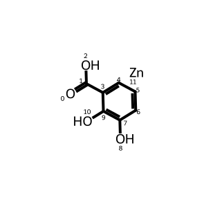 O=C(O)c1cccc(O)c1O.[Zn]